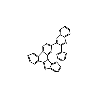 c1ccc(-c2nc3ccccc3nc2-c2ccc3c4ccccc4c4nc5ccccc5n4c3c2)cc1